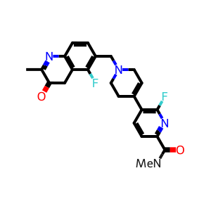 CNC(=O)c1ccc(C2=CCN(Cc3ccc4c(c3F)CC(=O)C(C)=N4)CC2)c(F)n1